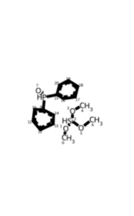 CO[SiH](OC)OC.O=[PH](c1ccccc1)c1ccccc1